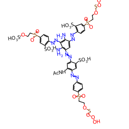 CC(=O)Nc1cc(/N=N/c2cc(/N=N/c3ccc(S(=O)(=O)CCOSOOO)cc3S(=O)(=O)O)c(N)c(/N=N/c3ccc(S(=O)(=O)CCOS(=O)(=O)O)cc3S(=O)(=O)O)c2N)c(S(=O)(=O)O)cc1/N=N/c1ccc(S(=O)(=O)CCOSOOO)cc1